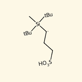 CC(C)(C)[Si](C)([CH]CCS(=O)(=O)O)C(C)(C)C